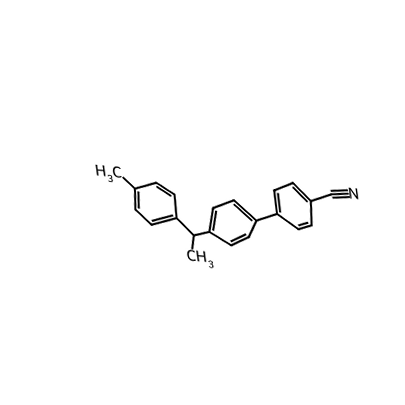 Cc1ccc(C(C)c2ccc(-c3ccc(C#N)cc3)cc2)cc1